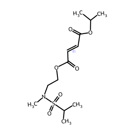 CC(C)OC(=O)/C=C/C(=O)OCCN(C)S(=O)(=O)C(C)C